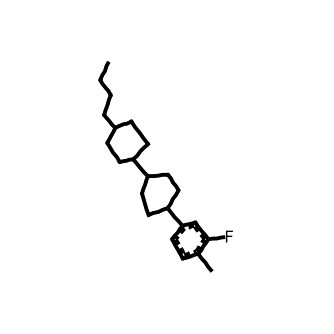 CCCCC1CCC(C2CCC(c3ccc(C)c(F)c3)CC2)CC1